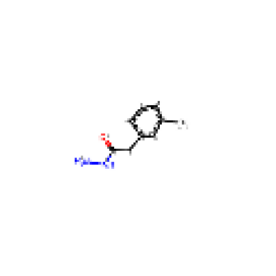 NNC(=O)Cc1cccc(C(F)(F)F)c1